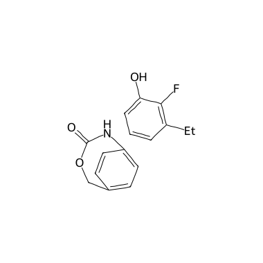 CCc1cccc(O)c1F.O=C1Nc2ccc(cc2)CO1